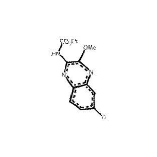 CCOC(=O)Nc1nc2ccc(Cl)cc2nc1OC